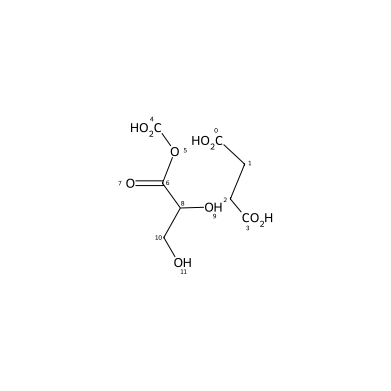 O=C(O)CCC(=O)O.O=C(O)OC(=O)C(O)CO